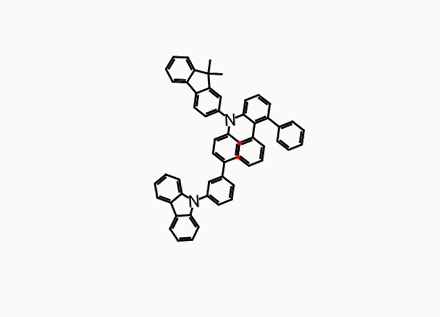 CC1(C)c2ccccc2-c2ccc(N(c3ccc(-c4cccc(-n5c6ccccc6c6ccccc65)c4)cc3)c3cccc(-c4ccccc4)c3-c3ccccc3)cc21